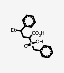 CCC(CC(C(=O)O)P(=O)(O)Cc1ccccc1)c1ccccc1